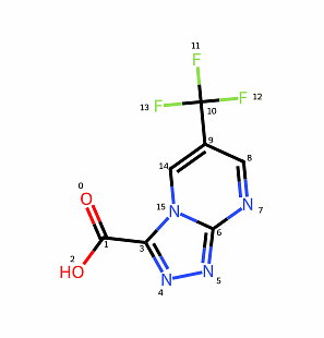 O=C(O)c1nnc2ncc(C(F)(F)F)cn12